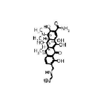 C[C@H]1c2ccc(CNCC(C)(C)C)c(O)c2C(=O)C2=C(O)[C@]3(O)C=C(C(N)=O)C(O)[C@@H](N(C)C)[C@@H]3[C@@H](O)[C@@H]21